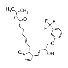 CC(C)OC(=O)CCCC=CC[C@H]1C(=O)C=C[C@@H]1C=CC(O)COc1cccc(C(F)(F)F)c1